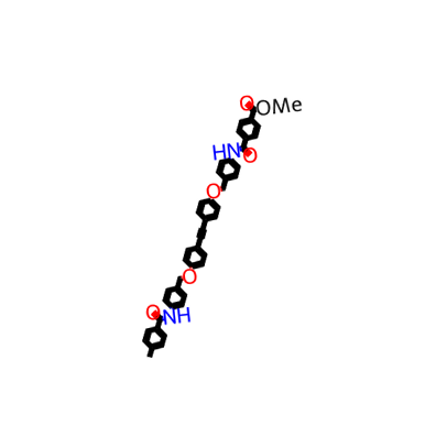 COC(=O)c1ccc(C(=O)Nc2ccc(COc3ccc(C#Cc4ccc(OCc5ccc(NC(=O)c6ccc(C)cc6)cc5)cc4)cc3)cc2)cc1